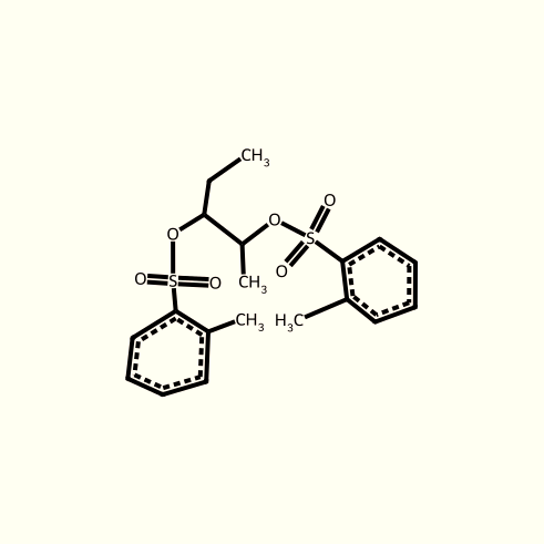 CCC(OS(=O)(=O)c1ccccc1C)C(C)OS(=O)(=O)c1ccccc1C